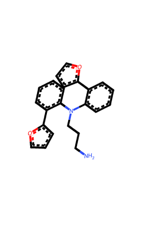 NCCCN(c1ccccc1-c1ccco1)c1ccccc1-c1ccco1